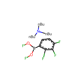 CCCCN(CCCC)CCCC.FOB(OF)c1ccc(F)c(F)c1F